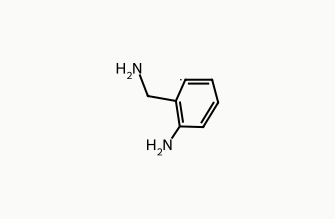 NCc1[c]cccc1N